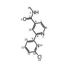 CNC(=O)c1ccnc(-c2cccc(Cl)n2)c1